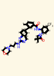 Cc1ccc(C(=O)Nc2cc(C(F)(F)F)ccc2N2CC(C)(C)C2=O)cc1-c1ccc2nc(NCCCN3CCOCC3)ncc2c1